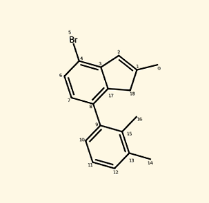 CC1=Cc2c(Br)ccc(-c3cccc(C)c3C)c2C1